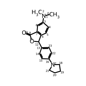 CN(C)c1ccc2c(c1)C(=O)OC2c1ccc(N2CCCC2)cc1